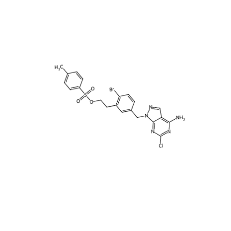 Cc1ccc(S(=O)(=O)OCCc2cc(Cn3ncc4c(N)nc(Cl)nc43)ccc2Br)cc1